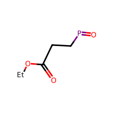 CCOC(=O)CCP=O